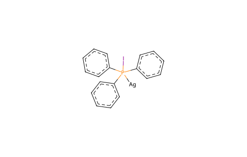 [Ag][P](I)(c1ccccc1)(c1ccccc1)c1ccccc1